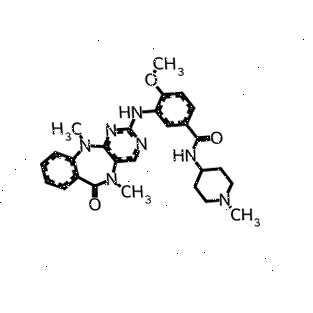 COc1ccc(C(=O)NC2CCN(C)CC2)cc1Nc1ncc2c(n1)N(C)c1ccccc1C(=O)N2C